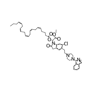 CCC/C=C\C/C=C\C/C=C\C/C=C\C/C=C\CCCC(=O)OC(C(=O)OCC)N1C(=O)Cc2cc(CCN3CCN(c4nsc5ccccc45)CC3)c(Cl)cc21